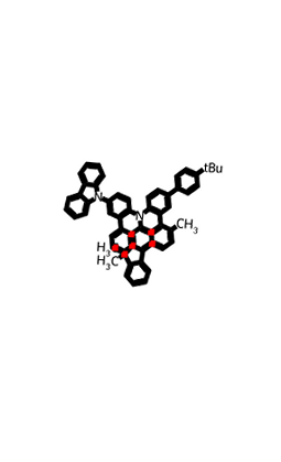 Cc1ccccc1-c1cc(-c2ccc(C(C)(C)C)cc2)ccc1N(c1ccc2c(c1)C(C)(C)c1ccccc1-2)c1ccc(-n2c3ccccc3c3ccccc32)cc1-c1ccccc1